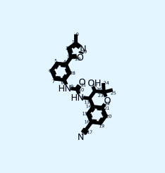 Cc1cc(-c2cccc(NC(=O)NC3c4cc(C#N)ccc4OC(C)(C)C3O)c2)on1